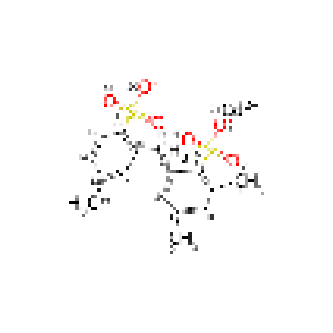 Cc1ccc(S(=O)(=O)[O-])c(C)c1.Cc1ccc(S(=O)(=O)[O-])c(C)c1.[Cd+2]